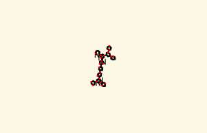 c1ccc(-c2cc(-c3ccccc3)cc(-c3cc(-c4ccccn4)nc(-c4ccc(-c5ccc(-c6ccc(-c7cc(-c8ccccc8)nc(-c8ccccc8)n7)cc6)cc5)cn4)c3)c2)cc1